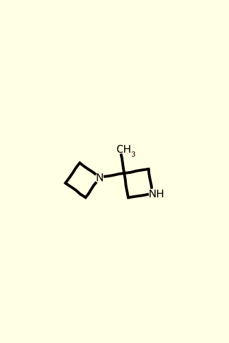 CC1(N2CCC2)CNC1